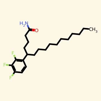 CCCCCCCCCCCC(CCCC(N)=O)c1ccc(F)c(F)c1F